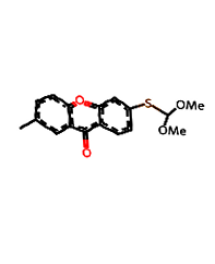 COC(OC)Sc1ccc2c(=O)c3cc(C)ccc3oc2c1